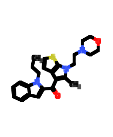 CCCn1c(C(=O)c2c(C)n(CCN3CCOCC3)c3sccc23)cc2ccccc21